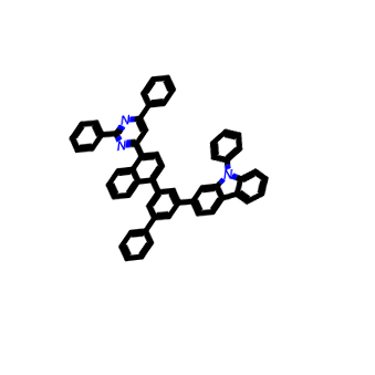 c1ccc(-c2cc(-c3ccc4c5ccccc5n(-c5ccccc5)c4c3)cc(-c3ccc(-c4cc(-c5ccccc5)nc(-c5ccccc5)n4)c4ccccc34)c2)cc1